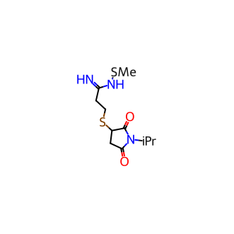 CSNC(=N)CCSC1CC(=O)N(C(C)C)C1=O